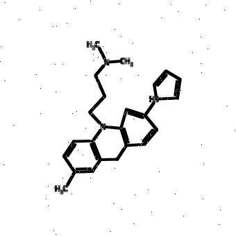 Cc1ccc2c(c1)Cc1ccc([SH]3C=CC=C3)cc1N2CCCN(C)C